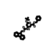 CC(C)(C)OC(=O)CC(CCC(=O)OCc1ccccc1)NC(=O)OCC1c2ccccc2-c2ccccc21